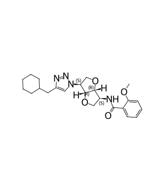 COc1ccccc1C(=O)N[C@H]1CO[C@H]2[C@@H]1OC[C@@H]2n1cc(CC2CCCCC2)nn1